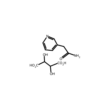 NC(=O)Cc1cccnc1.O=C(O)C(O)C(O)C(=O)O